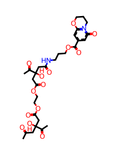 CC(=O)CC(O)(CC(=O)OCCOC(=O)CC(O)(CC(=O)NCCCOC(=O)c1cc2n(c(=O)c1)CCCO2)C(C)=O)C(C)=O